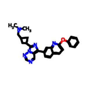 CN(C)CC1CC(c2nc(-c3ccc4ccc(Oc5ccccc5)nc4c3)c3cncnn23)C1